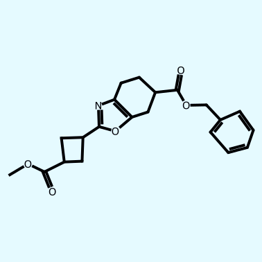 COC(=O)C1CC(c2nc3c(o2)CC(C(=O)OCc2ccccc2)CC3)C1